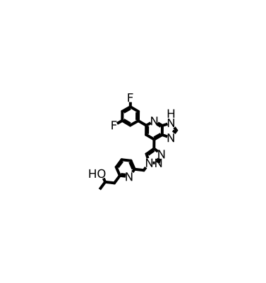 CC(O)Cc1cccc(Cn2cc(-c3cc(-c4cc(F)cc(F)c4)nc4[nH]cnc34)nn2)n1